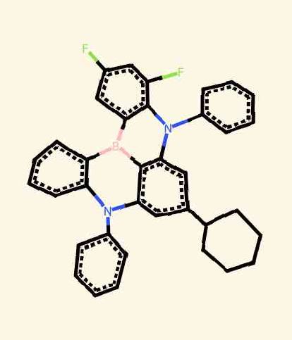 Fc1cc(F)c2c(c1)B1c3ccccc3N(c3ccccc3)c3cc(C4CCCCC4)cc(c31)N2c1ccccc1